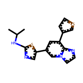 CC(C)Nc1ncc(-c2cc(-c3ccsc3)c3nccn3c2)s1